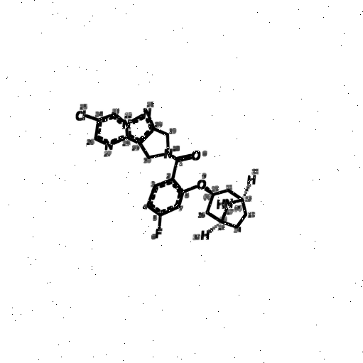 O=C(c1ccc(F)cc1O[C@H]1C[C@H]2CC[C@@H](C1)N2)N1Cc2nn3cc(Cl)cnc3c2C1